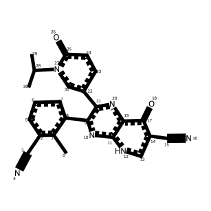 Cc1c(C#N)cccc1-c1nc2[nH]cc(C#N)c(=O)c2nc1-c1ccc(=O)n(C(C)C)c1